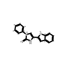 S=c1[nH]c(-c2cc3ccccc3o2)cn1-c1ccccc1